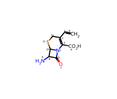 C=CC1=C(C(=O)O)N2C(=O)C(N)C2SC1